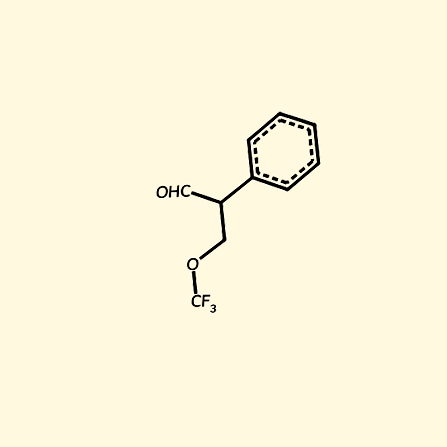 O=CC(COC(F)(F)F)c1ccccc1